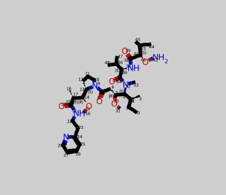 CC[C@H](C)[C@@H]([C@@H](CC(=O)N1CCC[C@H]1[C@H](OC)[C@@H](C)C(=O)NCCc1ccccn1)OC)N(C)C(=O)[C@@H](NC(=O)[C@@H](ON)C(C)C)C(C)C